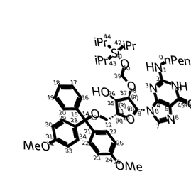 CCCCCNc1nc2c(ncn2[C@@H]2O[C@H](COC(c3ccccc3)(c3ccc(OC)cc3)c3ccc(OC)cc3)[C@@H](O)[C@H]2OCO[Si](C(C)C)(C(C)C)C(C)C)c(=O)[nH]1